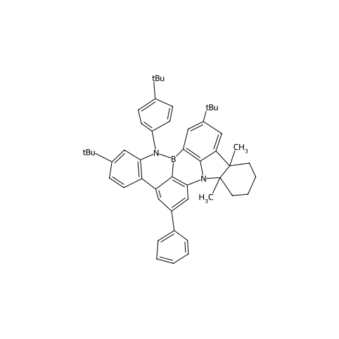 CC(C)(C)c1ccc(N2B3c4cc(C(C)(C)C)cc5c4N(c4cc(-c6ccccc6)cc(c43)-c3ccc(C(C)(C)C)cc32)C2(C)CCCCC52C)cc1